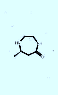 C[C@@H]1CC(=O)NCCN1